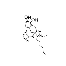 CCCCCCN(NCC)C1(Sc2nccn2C)CCc2c(ccc(O)c2O)C1